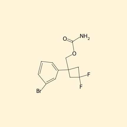 NC(=O)OCC1(c2cccc(Br)c2)CC(F)(F)C1